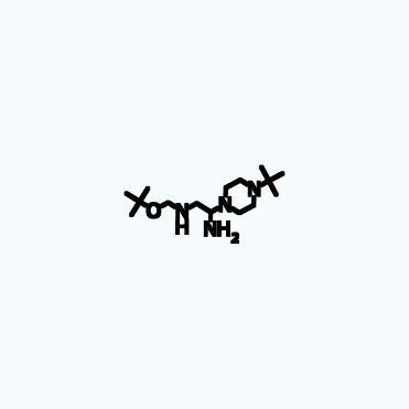 CC(C)(C)OCNCC(N)N1CCN(C(C)(C)C)CC1